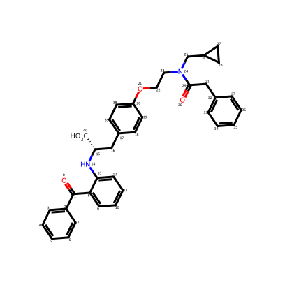 O=C(c1ccccc1)c1ccccc1N[C@@H](Cc1ccc(OCCN(CC2CC2)C(=O)Cc2ccccc2)cc1)C(=O)O